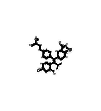 CC(C)/C(=C(/c1ccc(/C=C/C(=O)O)cc1)c1ccc2[nH]nc(F)c2c1)c1ccc(Cl)cc1F